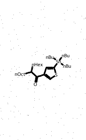 CCCCCCCCC(CCCCCC)C(=O)c1cs[c]([Sn]([CH2]CCC)([CH2]CCC)[CH2]CCC)c1